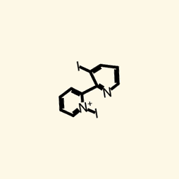 Ic1cccnc1-c1cccc[n+]1I